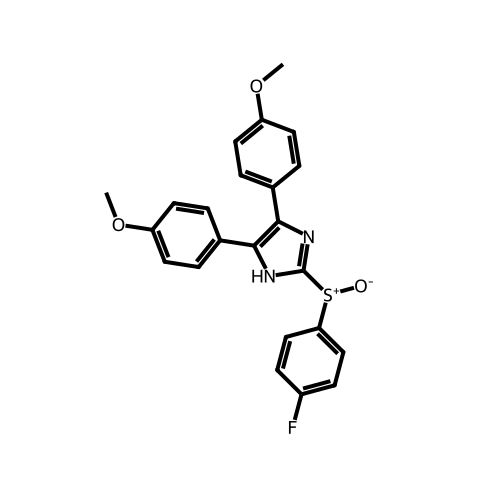 COc1ccc(-c2nc([S+]([O-])c3ccc(F)cc3)[nH]c2-c2ccc(OC)cc2)cc1